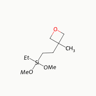 CC[Si](CCC1(C)COC1)(OC)OC